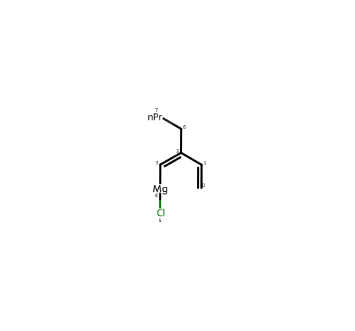 C=CC(=[CH][Mg][Cl])CCCC